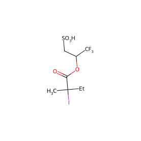 CCC(C)(I)C(=O)OC(CS(=O)(=O)O)C(F)(F)F